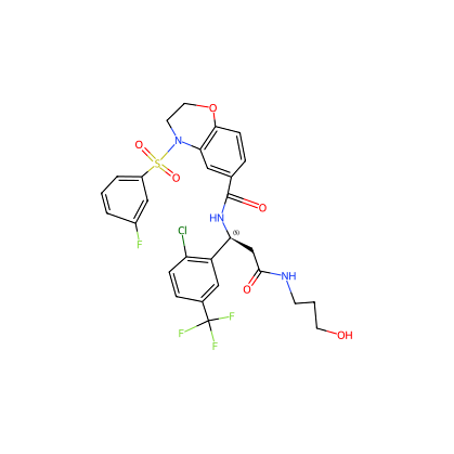 O=C(C[C@H](NC(=O)c1ccc2c(c1)N(S(=O)(=O)c1cccc(F)c1)CCO2)c1cc(C(F)(F)F)ccc1Cl)NCCCO